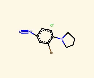 N#[N+]c1ccc(N2CCCC2)c(Br)c1.[Cl-]